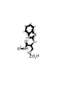 CCNC(=O)C(COC(=O)O)Sc1nc2ccccc2s1